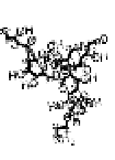 CCCCCCCCCCC[C@@H](O)CC(=O)N[C@H]1C(O)[C@H](OP(=O)(O)OP(=O)(O)OCCN)[C@@H](CO)O[C@H]1OCC1O[C@@]2(OP(=O)(O)OP(=O)(O)CCN)C(C(O)[C@@H]1O)N2C(=O)C[C@H](O)CCCCCCCCCCC